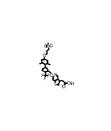 Cc1cc(OCCCS(C)(=O)=O)cc(C)c1-c1ccc(C(F)(F)F)c(COc2cc3c(cn2)C(CC(=O)O)CS3)c1